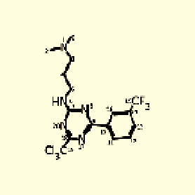 CN(C)CCCNc1nc(-c2cccc(C(F)(F)F)c2)nc(C(Cl)(Cl)Cl)n1